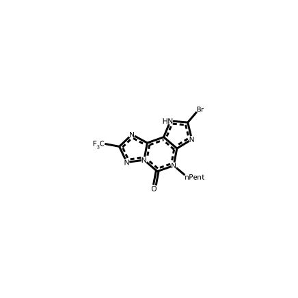 CCCCCn1c(=O)n2nc(C(F)(F)F)nc2c2[nH]c(Br)nc21